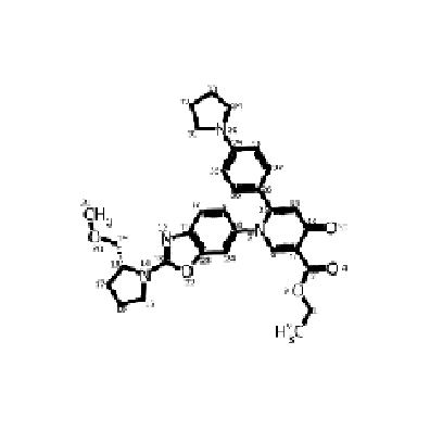 CCOC(=O)c1cn(-c2ccc3nc(N4CCC[C@@H]4COC)oc3c2)c(-c2ccc(N3CCCC3)cc2)cc1=O